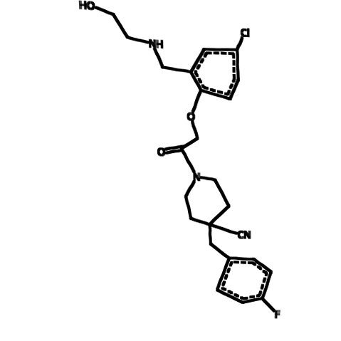 N#CC1(Cc2ccc(F)cc2)CCN(C(=O)COc2ccc(Cl)cc2CNCCO)CC1